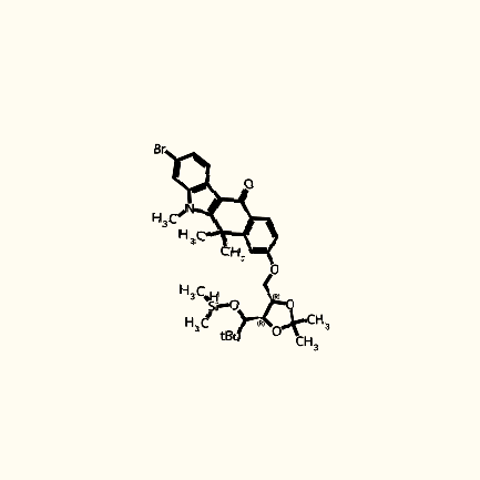 Cn1c2c(c3ccc(Br)cc31)C(=O)c1ccc(OC[C@H]3OC(C)(C)O[C@H]3C(O[SiH](C)C)C(C)(C)C)cc1C2(C)C